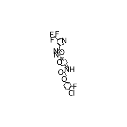 O=C(COc1ccc(Cl)c(F)c1)N[C@H]1CC[C@@H](c2nnc(-c3cncc(C(F)(F)F)c3)o2)OC1